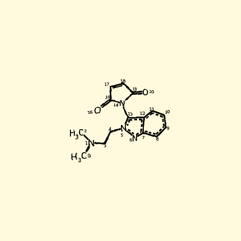 CN(C)CCn1nc2ccccc2c1N1C(=O)C=CC1=O